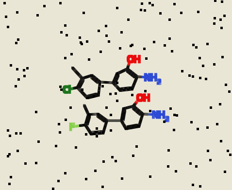 Cc1cc(-c2ccc(N)c(O)c2)ccc1Cl.Cc1cc(-c2ccc(N)c(O)c2)ccc1F